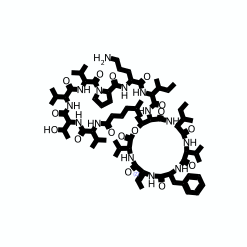 C/C=C1\NC(=O)C(Cc2ccccc2)NC(=O)C(C(C)C)NC(=O)C(C(C)CC)NC(=O)C(NC(=O)C(NC(=O)C(CCCN)NC(=O)C2CCCN2C(=O)C(NC(=O)C(NC(=O)C(NC(=O)C(NC(=O)CCCC(C)C)C(C)C)C(C)O)C(C)C)C(C)C)C(C)CC)C(C)OC(=O)C(C(C)C)NC1=O